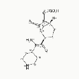 NN(C(=O)[C@@H]1CC[C@@H]2CN1C(=O)N2OS(=O)(=O)O)C1CCNCC1